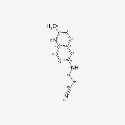 Cc1ccc2cc(NCCC#N)ccc2n1